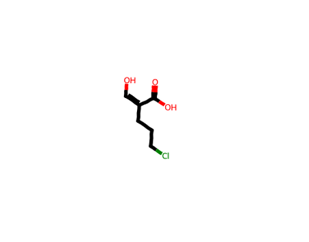 O=C(O)C(=CO)CCCCl